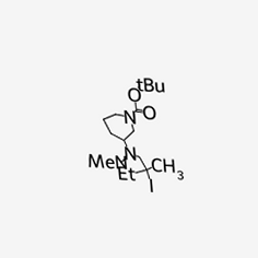 CCC(C)(I)CN(NC)C1CCCN(C(=O)OC(C)(C)C)C1